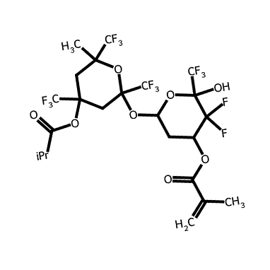 C=C(C)C(=O)OC1CC(OC2(C(F)(F)F)CC(OC(=O)C(C)C)(C(F)(F)F)CC(C)(C(F)(F)F)O2)OC(O)(C(F)(F)F)C1(F)F